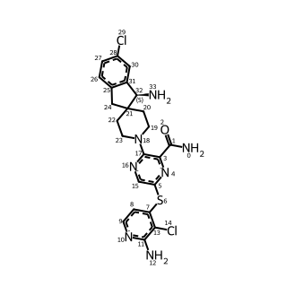 NC(=O)c1nc(Sc2ccnc(N)c2Cl)cnc1N1CCC2(CC1)Cc1ccc(Cl)cc1[C@H]2N